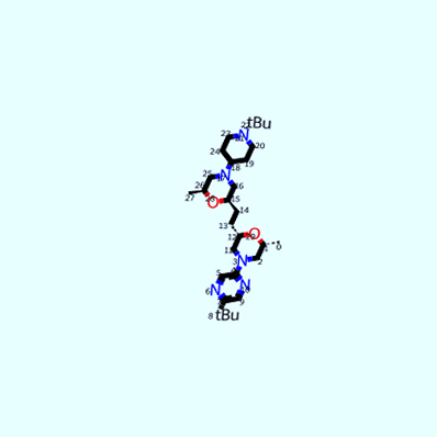 C[C@@H]1CN(c2cnc(C(C)(C)C)cn2)C[C@H](CC[C@@H]2CN(C3CCN(C(C)(C)C)CC3)C[C@H](C)O2)O1